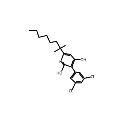 CCCCCCC(C)(C)c1cc(O)c(-c2cc(Cl)cc(Cl)c2)c(O)n1